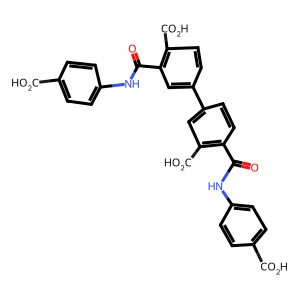 O=C(O)c1ccc(NC(=O)c2ccc(-c3ccc(C(=O)O)c(C(=O)Nc4ccc(C(=O)O)cc4)c3)cc2C(=O)O)cc1